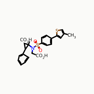 Cc1csc(-c2ccc(S(=O)(=O)N(CC(=O)O)C3(C(=O)O)CC3c3ccccc3)cc2)c1